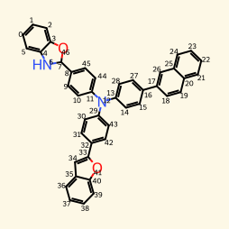 c1ccc2c(c1)NC(c1ccc(N(c3ccc(-c4ccc5ccccc5c4)cc3)c3ccc(-c4cc5ccccc5o4)cc3)cc1)O2